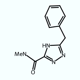 CNC(=O)c1nnc(Cc2ccccc2)[nH]1